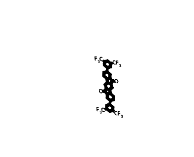 O=c1c2cc(-c3cc(C(F)(F)F)cc(C(F)(F)F)c3)ccc2c2cc3c(=O)c4cc(-c5cc(C(F)(F)F)cc(C(F)(F)F)c5)ccc4c3cc12